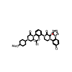 CCC(=O)Oc1c(N2CCN(C3CCC(OC)CC3)CC2=O)cccc1N1CCN(c2cc(Cl)ccc2-n2cnnn2)C(=O)C1=O